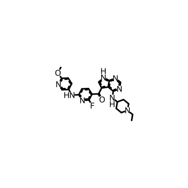 CCN1CCC(Nc2ncnc3[nH]cc(C(=O)c4ccc(Nc5ccc(OC)nc5)nc4F)c23)CC1